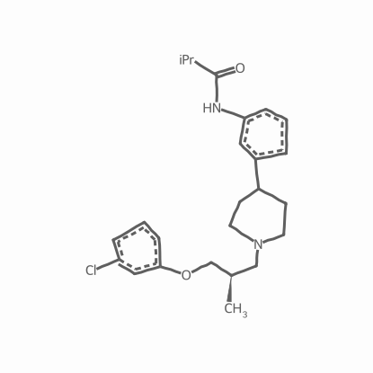 CC(C)C(=O)Nc1cccc(C2CCN(C[C@@H](C)COc3cccc(Cl)c3)CC2)c1